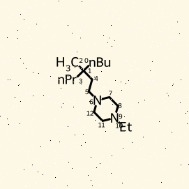 CCCCC(C)(CCC)CCN1CCN(CC)CC1